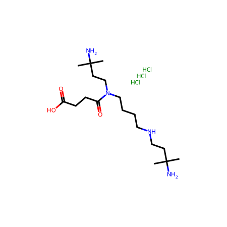 CC(C)(N)CCNCCCCN(CCC(C)(C)N)C(=O)CCC(=O)O.Cl.Cl.Cl